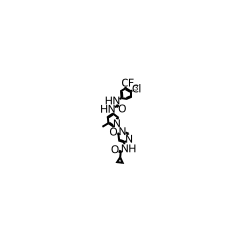 Cc1cc(NC(=O)Nc2ccc(Cl)c(C(F)(F)F)c2)cnc1Oc1cc(NC(=O)C2CC2)ncn1